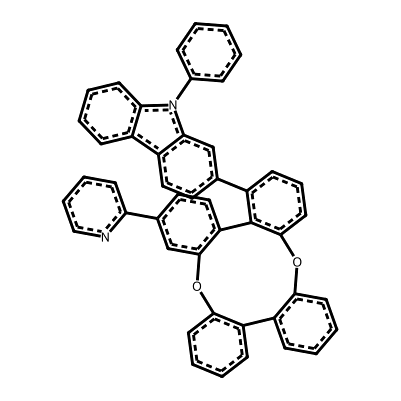 c1ccc(-n2c3ccccc3c3ccc(-c4cccc5c4-c4ccc(-c6ccccn6)cc4Oc4ccccc4-c4ccccc4O5)cc32)cc1